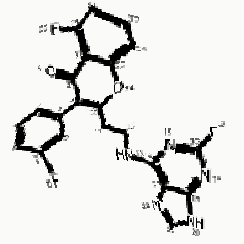 O=c1c(-c2cccc(F)c2)c(CCNc2nc(F)nc3[nH]cnc23)oc2cccc(F)c12